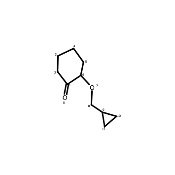 O=C1CCCCC1OCC1CC1